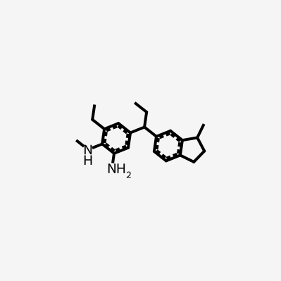 CCc1cc(C(CC)c2ccc3c(c2)C(C)CC3)cc(N)c1NC